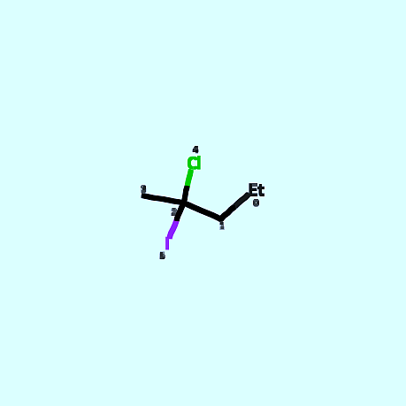 CCCC(C)(Cl)I